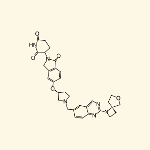 O=C1CCC(N2Cc3cc(O[C@H]4CCN(Cc5ccc6nc(N7CC[C@]78CCOC8)ncc6c5)C4)ccc3C2=O)C(=O)N1